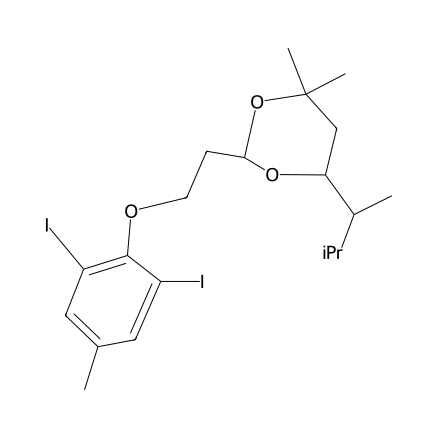 Cc1cc(I)c(OCCC2OC(C(C)C(C)C)CC(C)(C)O2)c(I)c1